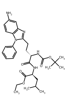 CCOC(=O)[C@H](CC(C)C)NC(=O)[C@H](CCc1nc2cc(N)ccc2n1-c1ccccc1)NC(=O)OC(C)(C)C